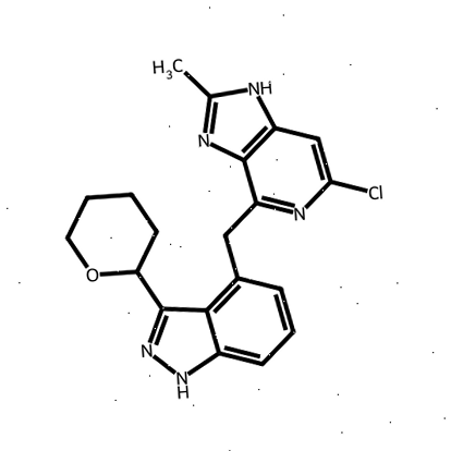 Cc1nc2c(Cc3cccc4[nH]nc(C5CCCCO5)c34)nc(Cl)cc2[nH]1